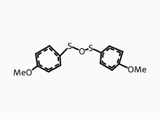 COc1ccc(SOSc2ccc(OC)cc2)cc1